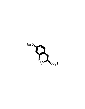 COc1ccc(CC(N)C(=O)O)c(F)c1